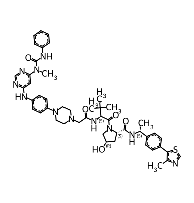 Cc1ncsc1-c1ccc([C@H](C)NC(=O)[C@@H]2C[C@@H](O)CN2C(=O)[C@@H](NC(=O)CN2CCN(c3ccc(Nc4cc(N(C)C(=O)Nc5ccccc5)ncn4)cc3)CC2)C(C)(C)C)cc1